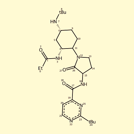 CCC(=O)N[C@@H]1C[C@H](NC(C)(C)C)CCC1N1CCC(NC(=O)c2ccnc(C(C)(C)C)n2)C1=O